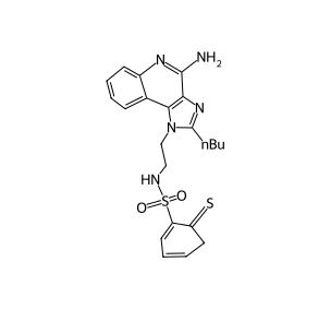 CCCCc1nc2c(N)nc3ccccc3c2n1CCNS(=O)(=O)C1=CC=CCC1=S